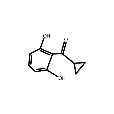 O=C(c1c(O)cccc1O)C1CC1